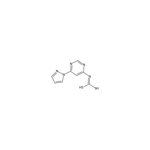 SC(S)=Nc1cc(-n2cccn2)ncn1